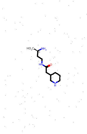 N[C@@H](CCNC(=O)CC1CCCNC1)C(=O)O